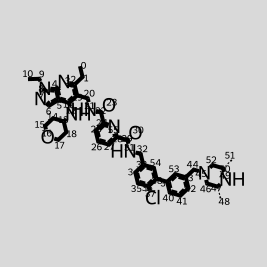 CCc1nc2c(cnn2CC)c(NC2CCOCC2)c1CNC(=O)c1cccc(C(=O)NCc2ccc(Cl)c(-c3cccc(CN4C[C@@H](C)N[C@@H](C)C4)c3)c2)n1